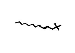 C[CH]CCCCCCCCCC(C)(C)C